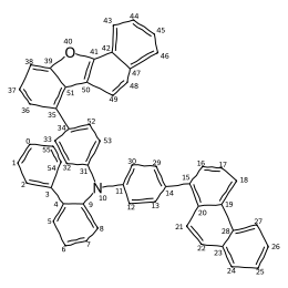 c1ccc(-c2ccccc2N(c2ccc(-c3cccc4c3ccc3ccccc34)cc2)c2ccc(-c3cccc4oc5c6ccccc6ccc5c34)cc2)cc1